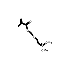 C=C(C)C(=O)OCCCC[SiH](OC)OC